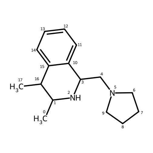 CC1NC(CN2CCCC2)c2ccccc2C1C